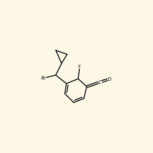 O=C=C1C=CC=C(C(Br)C2CC2)C1F